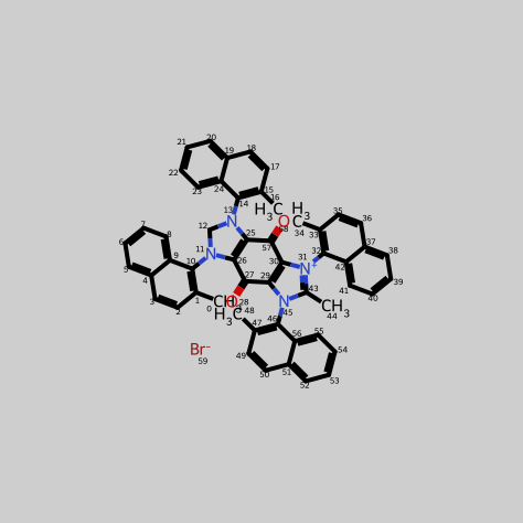 Cc1ccc2ccccc2c1N1CN(c2c(C)ccc3ccccc23)C2=C1C(=O)c1c([n+](-c3c(C)ccc4ccccc34)c(C)n1-c1c(C)ccc3ccccc13)C2=O.[Br-]